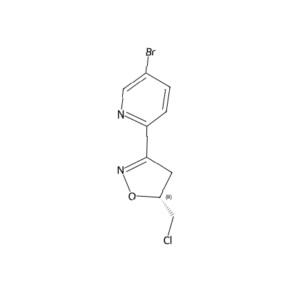 ClC[C@H]1CC(c2ccc(Br)cn2)=NO1